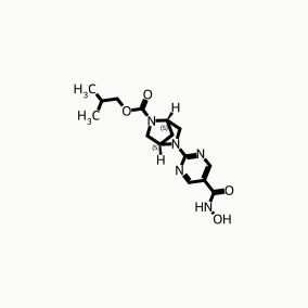 CC(C)COC(=O)N1C[C@@H]2C[C@H]1CN2c1ncc(C(=O)NO)cn1